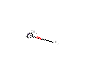 CCCCCCCCCCOCOCCCC(C)C[CH](C)[Mg][I]